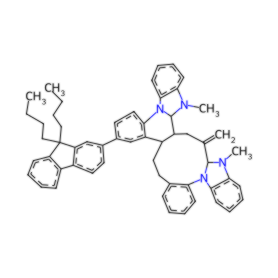 C=C1CC2C(CCc3ccccc3N3c4ccccc4N(C)C13)c1cc(-c3ccc4c(c3)C(CCCC)(CCCC)c3ccccc3-4)ccc1N1c3ccccc3N(C)C21